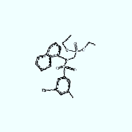 CCOP(=O)(CN(c1cccc2ccccc12)S(=O)(=O)c1cc(C)cc(Br)c1)OCC